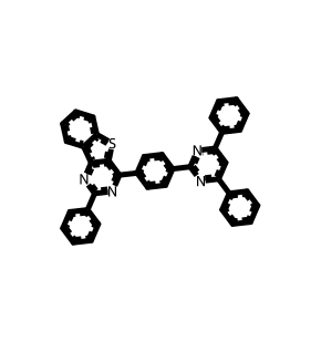 c1ccc(-c2cc(-c3ccccc3)nc(-c3ccc(-c4nc(-c5ccccc5)nc5c4sc4ccccc45)cc3)n2)cc1